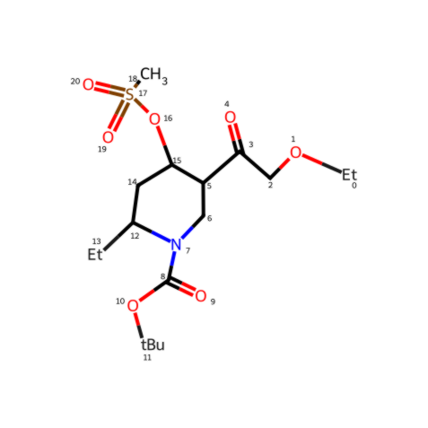 CCOCC(=O)C1CN(C(=O)OC(C)(C)C)C(CC)CC1OS(C)(=O)=O